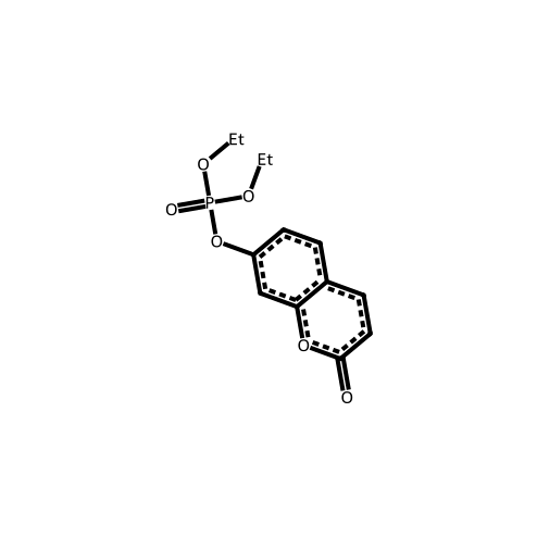 CCOP(=O)(OCC)Oc1ccc2ccc(=O)oc2c1